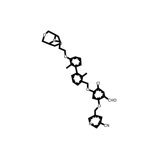 Cc1c(COc2cc(OCc3cncc(C#N)c3)c(C=O)cc2Cl)cccc1-c1cccc(OCCCN2C3COCC2COC3)c1C